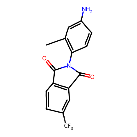 Cc1cc(N)ccc1N1C(=O)c2ccc(C(F)(F)F)cc2C1=O